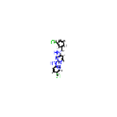 Clc1ccc(Nc2nccc(NCc3cccc(Cl)c3)n2)nc1